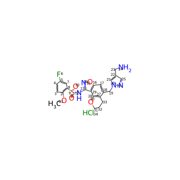 COc1ccc(F)cc1S(=O)(=O)Nc1noc2cc(Cn3cc(CN)cn3)c3c(c12)OCCC3.Cl